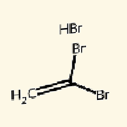 Br.C=C(Br)Br